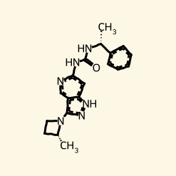 C[C@@H]1CCN1c1n[nH]c2cc(NC(=O)N[C@H](C)c3ccccc3)ncc12